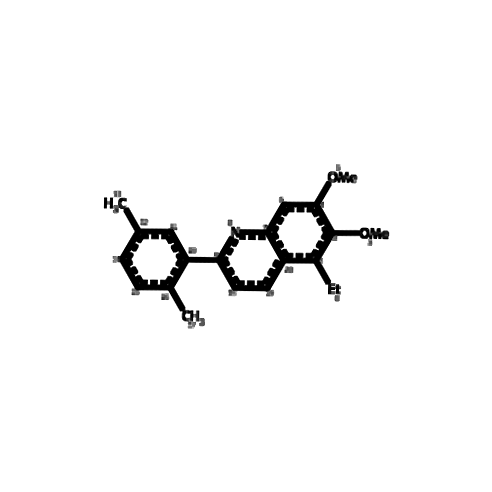 CCc1c(OC)c(OC)cc2nc(-c3cc(C)ccc3C)ccc12